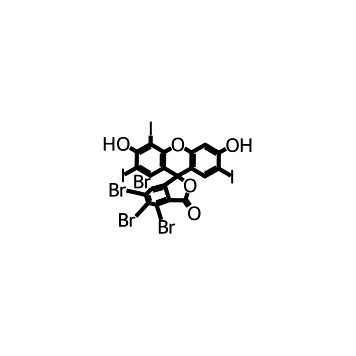 O=C1OC2(c3cc(I)c(O)cc3Oc3c2cc(I)c(O)c3I)c2c(Br)c(Br)c(Br)c(Br)c21